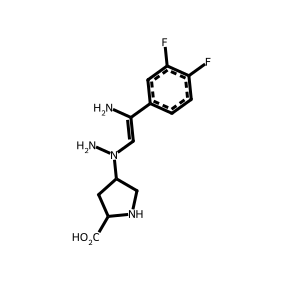 N/C(=C\N(N)C1CNC(C(=O)O)C1)c1ccc(F)c(F)c1